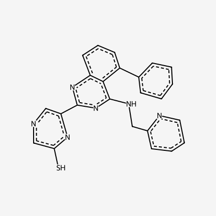 Sc1cncc(-c2nc(NCc3ccccn3)c3c(-c4ccccc4)cccc3n2)n1